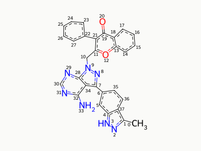 Cc1n[nH]c2cc(-c3nn(Cc4oc5ccccc5c(=O)c4-c4ccccc4)c4ncnc(N)c34)ccc12